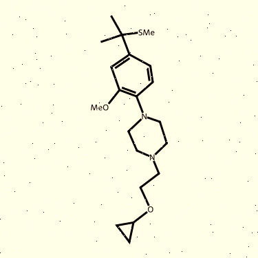 COc1cc(C(C)(C)SC)ccc1N1CCN(CCOC2CC2)CC1